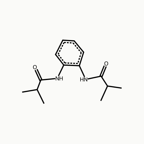 CC(C)C(=O)Nc1ccccc1NC(=O)C(C)C